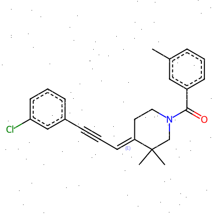 Cc1cccc(C(=O)N2CC/C(=C\C#Cc3cccc(Cl)c3)C(C)(C)C2)c1